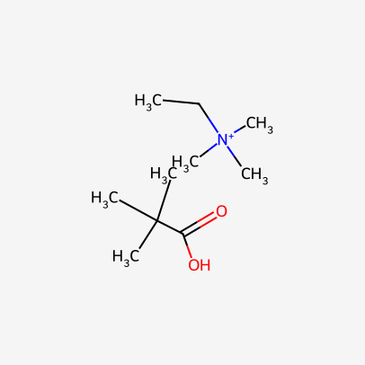 CC(C)(C)C(=O)O.CC[N+](C)(C)C